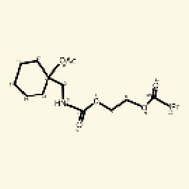 CC(=O)OC1(CNC(=O)OCCOC(=O)C(C)C)CCCCC1